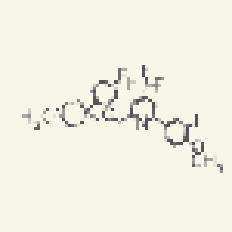 COc1ccc(-c2cc(C(F)(F)F)cc(COCC3(c4ccc(F)cc4)CCN(C)CC3)n2)cc1F